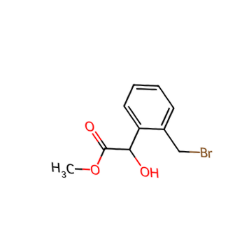 COC(=O)C(O)c1ccccc1CBr